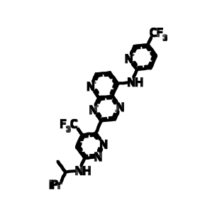 CC(C)C(C)Nc1cc(C(F)(F)F)c(-c2cnc3c(Nc4ccc(C(F)(F)F)cn4)ccnc3n2)nn1